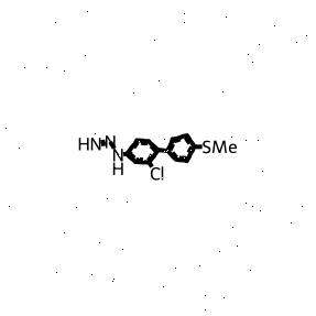 CSc1ccc(-c2ccc(NN=N)cc2Cl)cc1